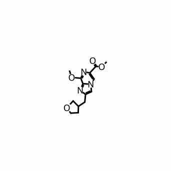 COC(=O)c1cn2cc(CC3CCOC3)nc2c(OC)n1